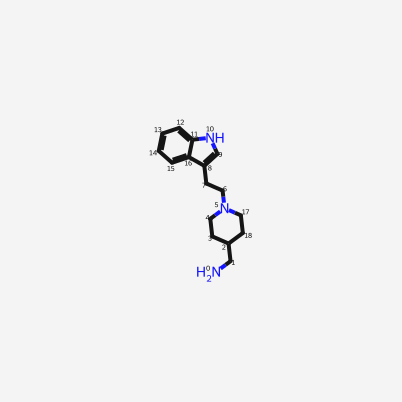 NCC1CCN(CCc2c[nH]c3ccccc23)CC1